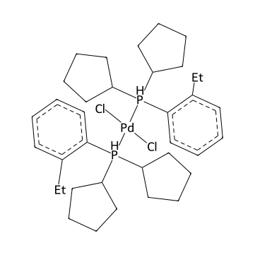 CCc1ccccc1[PH](C1CCCC1)(C1CCCC1)[Pd]([Cl])([Cl])[PH](c1ccccc1CC)(C1CCCC1)C1CCCC1